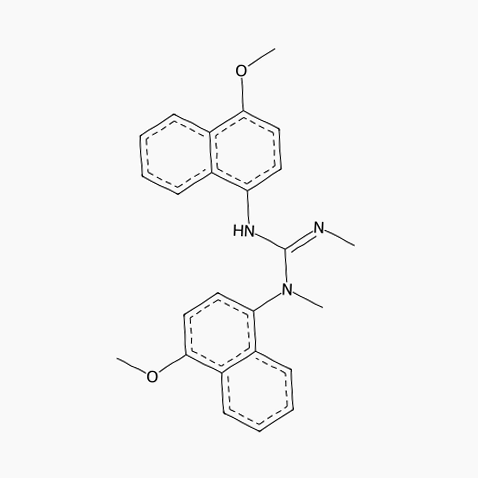 CN=C(Nc1ccc(OC)c2ccccc12)N(C)c1ccc(OC)c2ccccc12